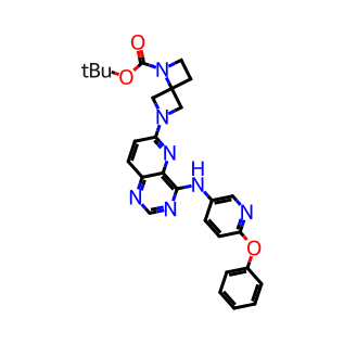 CC(C)(C)OC(=O)N1CCC12CN(c1ccc3ncnc(Nc4ccc(Oc5ccccc5)nc4)c3n1)C2